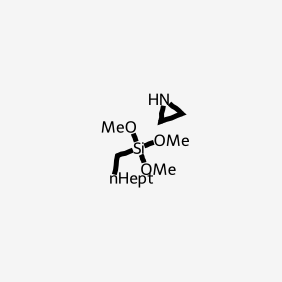 C1CN1.CCCCCCCC[Si](OC)(OC)OC